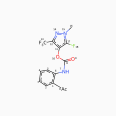 CC(=O)c1ccccc1NC(=O)Oc1c(C(F)(F)F)nn(C)c1F